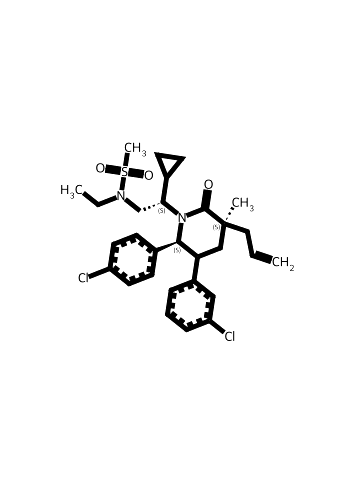 C=CC[C@@]1(C)CC(c2cccc(Cl)c2)[C@@H](c2ccc(Cl)cc2)N([C@H](CN(CC)S(C)(=O)=O)C2CC2)C1=O